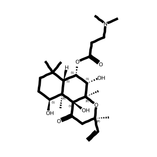 C=C[C@@]1(C)CC(=O)[C@]2(O)[C@@]3(C)[C@@H](O)CCC(C)(C)[C@@H]3[C@H](OC(=O)CCN(C)C)[C@H](O)[C@@]2(C)O1